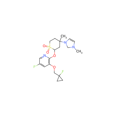 CN1C=CN(C2(C)CCS(=O)(=O)C(Oc3ncc(F)cc3OCC3(F)CC3)C2)C1